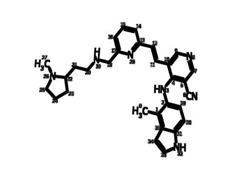 Cc1c(Nc2c(C#N)cncc2C=Cc2cccc(CNCCC3CCCN3C)n2)ccc2[nH]ccc12